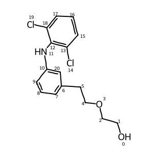 OCCOCCc1cc[c]c(Nc2c(Cl)cccc2Cl)c1